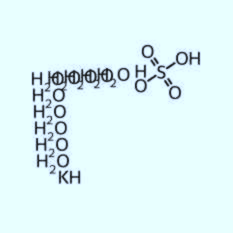 O.O.O.O.O.O.O.O.O.O.O=S(=O)(O)O.[KH]